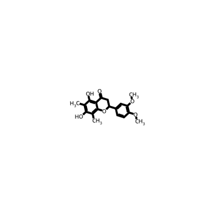 COc1ccc(C2CC(=O)c3c(O)c(C)c(O)c(C)c3O2)cc1OC